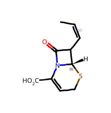 C/C=C\C1C(=O)N2C(C(=O)O)=CCS[C@@H]12